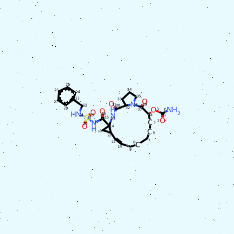 NC(=O)OC1CCCCC/C=C\C2CC2(C(=O)NS(=O)(=O)NCc2ccccc2)NC(=O)C2CCCN2C1=O